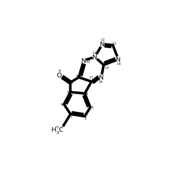 Cc1ccc2c(c1)C(=O)c1nn3ncnc3nc1-2